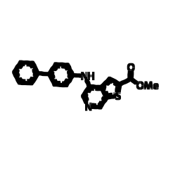 COC(=O)c1cc2c(Nc3ccc(-c4ccccc4)cc3)cncc2s1